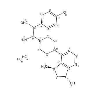 C[C@@H]1C[C@@H](O)c2ncnc(N3CCN(C(N)C(C=O)c4ccc(Cl)cc4)CC3)c21.Cl.Cl